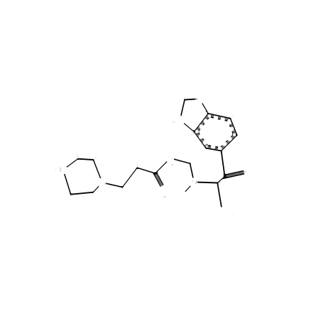 CC(C(=O)c1ccc2c(c1)OCO2)N(C)CNC(=O)CCN1CCNCC1